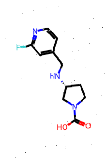 O=C(O)N1CC[C@@H](NCc2ccnc(F)c2)C1